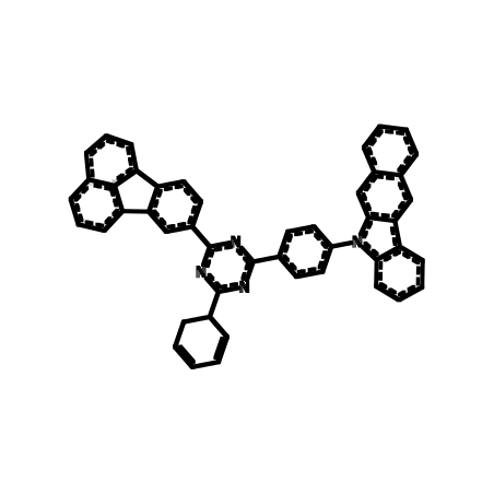 C1=CCC(c2nc(-c3ccc(-n4c5ccccc5c5cc6ccccc6cc54)cc3)nc(-c3ccc4c(c3)-c3cccc5cccc-4c35)n2)C=C1